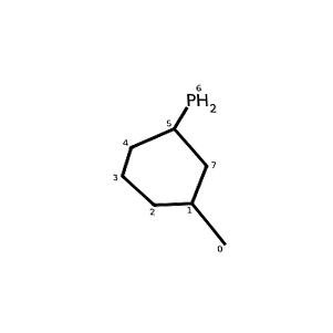 CC1CCCC(P)C1